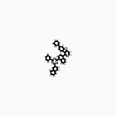 c1ccc(-c2ccc3c(c2)oc2ccnc(-c4ccc(-c5nc(-c6ccccc6)nc(-c6ccc7ccccc7c6)n5)c5ccccc45)c23)cc1